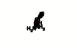 Nc1cc(N)cc(CC(=Cc2ccc(OC(=O)c3ccc(OCC(F)(F)C(F)(F)F)cc3)cc2)C(=O)O)c1